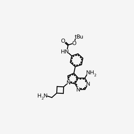 CC(C)(C)OC(=O)Nc1cccc(-c2cn(C3CC(CN)C3)c3ncnc(N)c23)c1